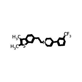 Cc1sc2cc(CCN3CC=C(c4cccc(C(F)(F)F)c4)CC3)ccc2c1C